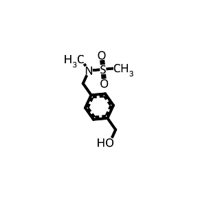 CN(Cc1ccc(CO)cc1)S(C)(=O)=O